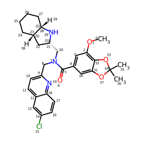 COc1cc(C(=O)N(Cc2ccc3cc(Cl)ccc3n2)C[C@@H]2C[C@@H]3CCCC[C@@H]3N2)cc2c1OC(C)(C)O2